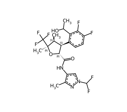 Cc1nn(C(F)F)cc1NC(=O)[C@@H]1O[C@@](C)(C(F)(F)F)[C@@H](C)[C@H]1c1ccc(F)c(F)c1C(C)O